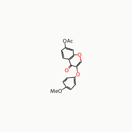 COc1ccc(Oc2coc3cc(OC(C)=O)ccc3c2=O)cc1